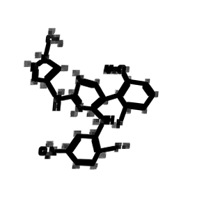 COc1cccc(F)c1-c1cnc(Nc2cnn(C)c2)nc1Nc1cc([N+](=O)[O-])ccc1F